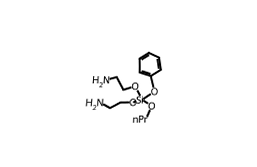 CCCO[Si](OCCN)(OCCN)Oc1ccccc1